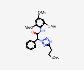 CCCCCCCCCCCCc1nnn(C(C(=O)Nc2c(OC)cc(OC)cc2OC)c2ccccc2)n1